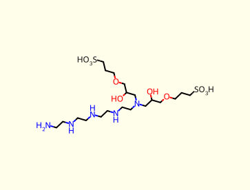 NCCNCCNCCNCCN(CC(O)COCCCS(=O)(=O)O)CC(O)COCCCS(=O)(=O)O